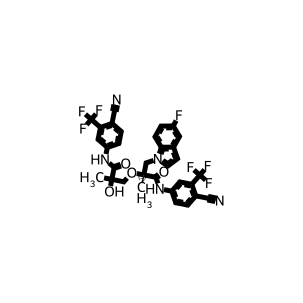 CC(O)(CO[C@@](C)(Cn1ccc2cc(F)ccc21)C(=O)Nc1ccc(C#N)c(C(F)(F)F)c1)C(=O)Nc1ccc(C#N)c(C(F)(F)F)c1